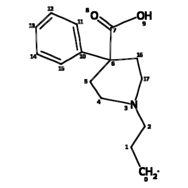 [CH2]CCN1CCC(C(=O)O)(c2ccccc2)CC1